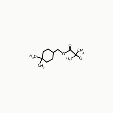 CC1(C)CCC(COC(=O)C(C)(C)Cl)CC1